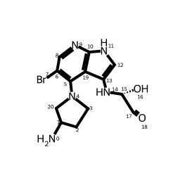 NC1CCN(c2c(Br)cnc3[nH]cc(N[C@H](O)C=O)c23)C1